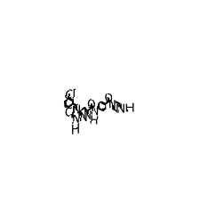 O=C(Nc1ccc(C(=O)N2CCNCC2)cc1)c1cc2c(nn1)NCCN2Cc1cc(Cl)ccc1Cl